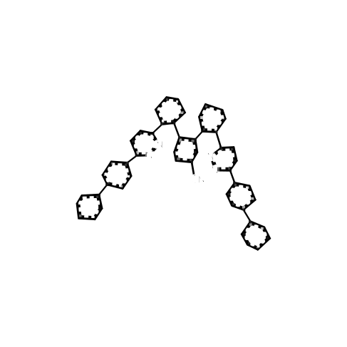 N#Cc1ccc(-c2ccccc2-c2ccc(-c3ccc(-c4ccccc4)cc3)nn2)c(-c2ccccc2-c2ccc(-c3ccc(-c4ccccc4)cc3)nn2)c1